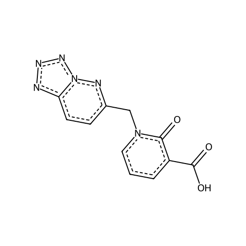 O=C(O)c1cccn(Cc2ccc3nnnn3n2)c1=O